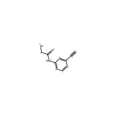 C#Cc1cccc(NC(=O)CC(C)C)c1